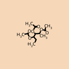 [CH2]CC(OC(C)=O)C(OC(C)=O)C(C)OC(C)=O